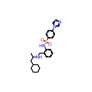 CC(CC1CCCCC1)NCc1ccccc1NS(=O)(=O)c1ccc(-n2ccnc2)cc1